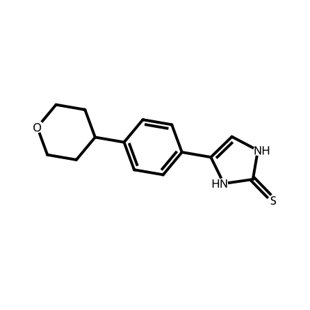 S=c1[nH]cc(-c2ccc(C3CCOCC3)cc2)[nH]1